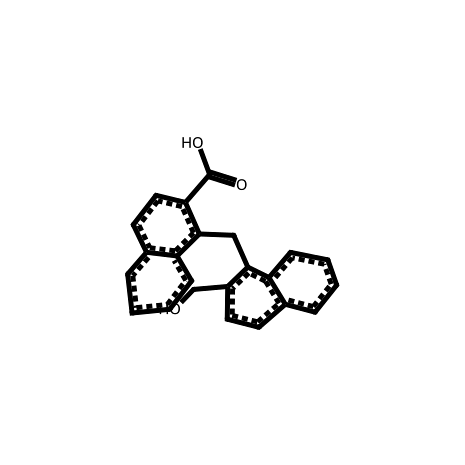 O=C(O)c1ccc2ccccc2c1Cc1c(CO)ccc2ccccc12